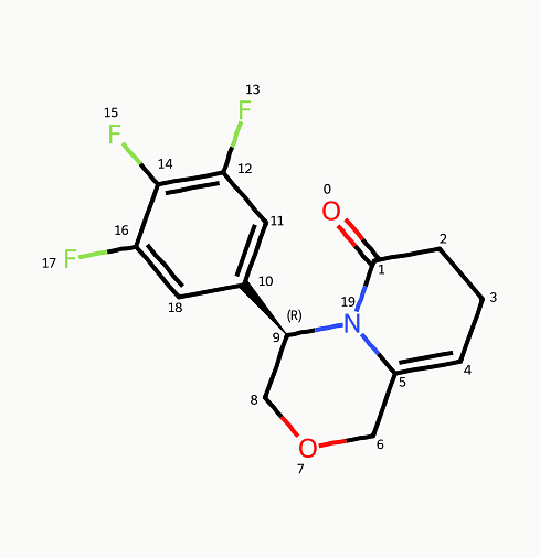 O=C1CCC=C2COC[C@@H](c3cc(F)c(F)c(F)c3)N12